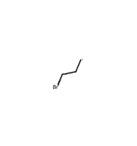 [CH]CCBr